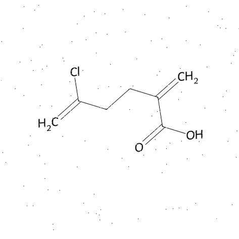 C=C(Cl)CCC(=C)C(=O)O